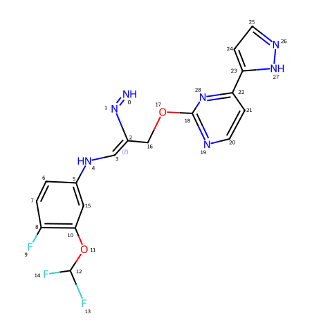 N=N/C(=C\Nc1ccc(F)c(OC(F)F)c1)COc1nccc(-c2ccn[nH]2)n1